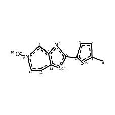 Cc1ccc(-c2nc3c[n+]([O-])ccc3s2)s1